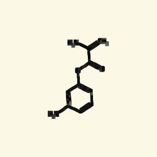 C=C(N)C(=O)Oc1cccc(N)c1